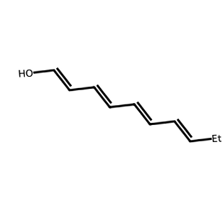 CC/C=C/C=C/C=C/C=C/O